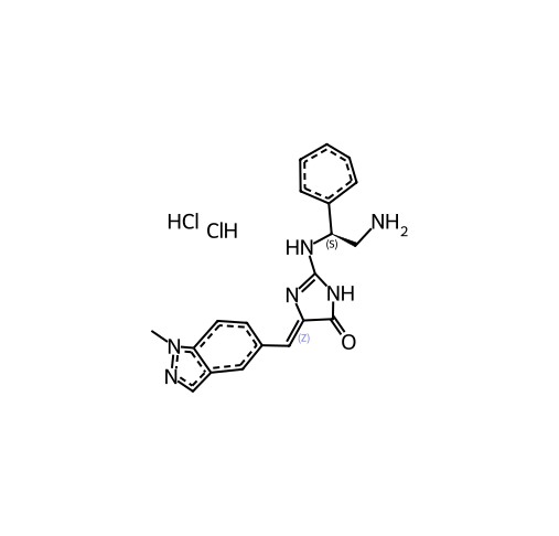 Cl.Cl.Cn1ncc2cc(/C=C3\N=C(N[C@H](CN)c4ccccc4)NC3=O)ccc21